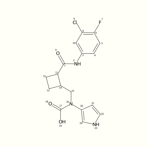 O=C(Nc1ccc(F)c(Cl)c1)C1CCC1CN(C(=O)O)c1cc[nH]c1